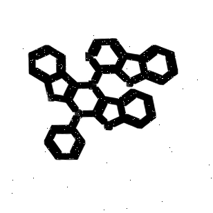 c1ccc(B2c3oc4ccccc4c3N(c3nccc4c3sc3ccccc34)c3c2sc2ccccc32)cc1